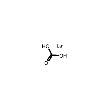 O=C(O)O.[La]